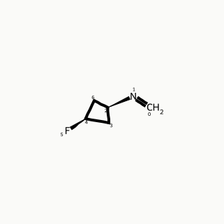 C=N[C@H]1C[C@@H](F)C1